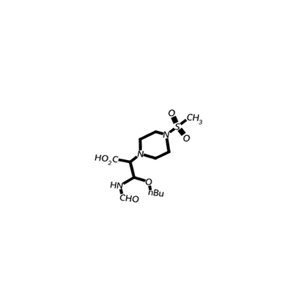 CCCCOC(NC=O)C(C(=O)O)N1CCN(S(C)(=O)=O)CC1